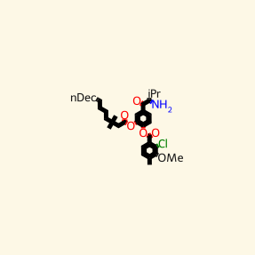 CCCCCCCCCCCCCCC(C)(C)CC(=O)Oc1cc(C(=O)C(N)C(C)C)ccc1OC(=O)c1ccc(C)c(OC)c1Cl